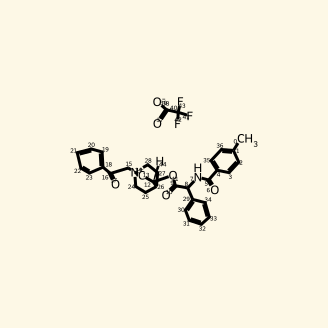 Cc1ccc(C(=O)NC(C(=O)O[C@H]2C[N+]3(CC(=O)c4ccccc4)CCC2CC3)c2ccccc2)cc1.O=C([O-])C(F)(F)F